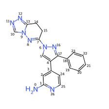 Nc1cc(-c2cn(C3=Nn4cnnc4CC3)nc2-c2ccccc2)ccn1